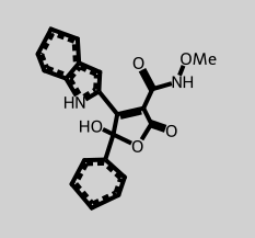 CONC(=O)C1=C(c2cc3ccccc3[nH]2)C(O)(c2ccccc2)OC1=O